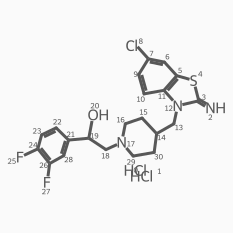 Cl.Cl.N=c1sc2cc(Cl)ccc2n1CC1CCN(CC(O)c2ccc(F)c(F)c2)CC1